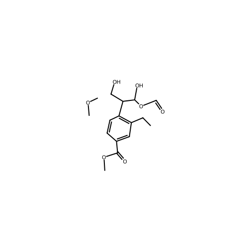 CCc1cc(C(=O)OC)ccc1C(CO)C(O)OC=O.COC